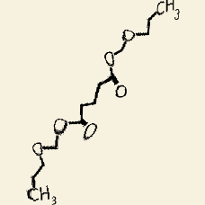 CCCOCOC(=O)CCCC(=O)OCOCCC